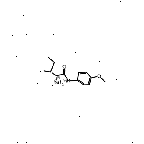 CCC(C)[C@H](N)C(=O)Nc1ccc(OC)cc1